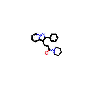 O=C(/C=C/c1c(-c2ccccc2)nn2ccccc12)N1CCCCC1